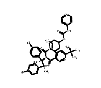 CCOc1cc(C(C)(C)C)ncc1C1=N[C@@](C)(c2ccc(Cl)cc2)[C@@](C)(c2ccc(Cl)cc2)N1C(=O)N1CCC(NC(=O)Nc2ccncc2)CC1